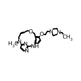 CCN1CCN(CCOc2ccc3cc2COC/C=C/CN(C)c2ccnc(n2)N3)CC1